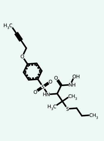 CC#CCOc1ccc(S(=O)(=O)NC(C(=O)NO)C(C)(C)SCCC)cc1